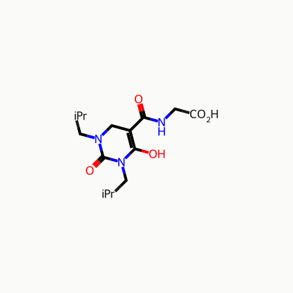 CC(C)CN1CC(C(=O)NCC(=O)O)=C(O)N(CC(C)C)C1=O